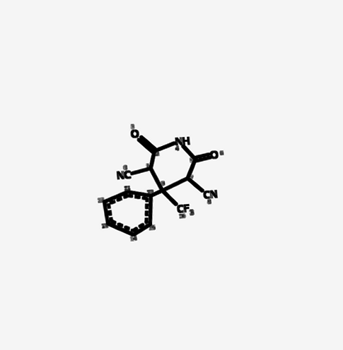 N#CC1C(=O)NC(=O)C(C#N)C1(c1ccccc1)C(F)(F)F